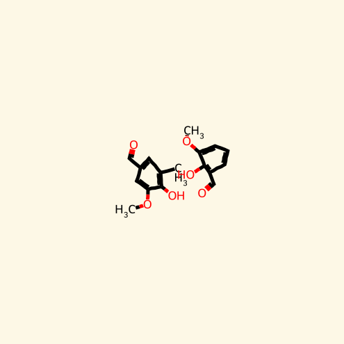 COc1cc(C=O)cc(C)c1O.COc1cccc(C=O)c1O